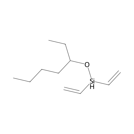 C=C[SiH](C=C)OC(CC)CCCC